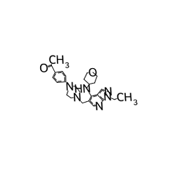 CCn1ncc2c(NC3CCOCC3)c(CN3CCN(c4ccc(C(C)=O)cc4)CC3)cnc21